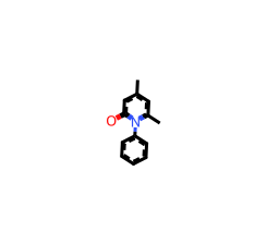 Cc1cc(C)n(-c2ccccc2)c(=O)c1